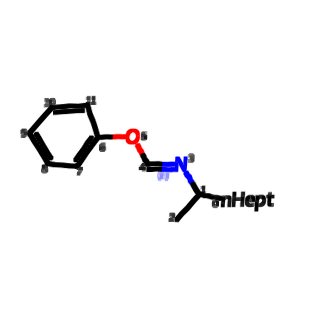 CCCCCCCC(C)/N=C/Oc1ccccc1